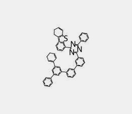 C1=CC(c2cc(-c3ccccc3)cc(-c3cccc(-c4cccc(-c5nc(-c6ccccc6)nc(-c6cccc7c8c(sc67)C=CCC8)n5)c4)c3)c2)=CCC1